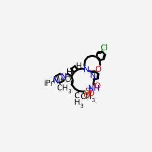 CO[C@@]1(CN2CCN(C(C)C)[C@H](C)C2)/C=C/C[C@H](C)[C@@H](C)S(=O)(=O)NC(=O)c2ccc3c(n2)N(CCCCc2cc(Cl)ccc2CO3)C[C@@H]2CC[C@H]21